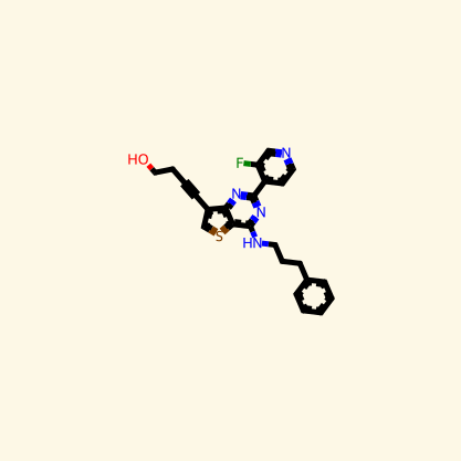 OCCC#Cc1csc2c(NCCCc3ccccc3)nc(-c3ccncc3F)nc12